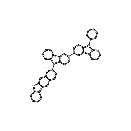 c1ccc(-n2c3ccccc3c3cc(-c4ccc5c(c4)c4ccccc4n5-c4ccc5cc6c(cc5c4)sc4ccccc46)ccc32)cc1